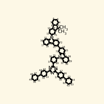 CC1(C)c2ccccc2-c2ccc(-n3c4ccccc4c4cc(-c5ccc6c7ccccc7n(-c7cccc(-c8nc(-c9ccc(-c%10ccccc%10)cc9)nc(-c9ccc(-c%10ccccc%10)cc9)n8)c7)c6c5)ccc43)cc21